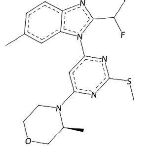 CSc1nc(N2CCOC[C@@H]2C)cc(-n2c(C(F)F)nc3ccc(C)cc32)n1